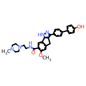 COc1cc2c(cc1C(=O)NCCN1CCN(C)CC1)-c1[nH]nc(-c3ccc(-c4ccc(O)cc4)cc3)c1C2